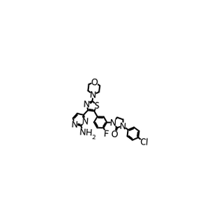 Nc1nccc(-c2nc(N3CCOCC3)sc2-c2ccc(F)c(N3CCN(c4ccc(Cl)cc4)C3=O)c2)n1